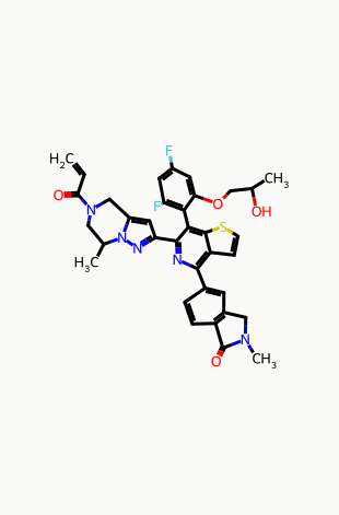 C=CC(=O)N1Cc2cc(-c3nc(-c4ccc5c(c4)CN(C)C5=O)c4ccsc4c3-c3c(F)cc(F)cc3OCC(C)O)nn2C(C)C1